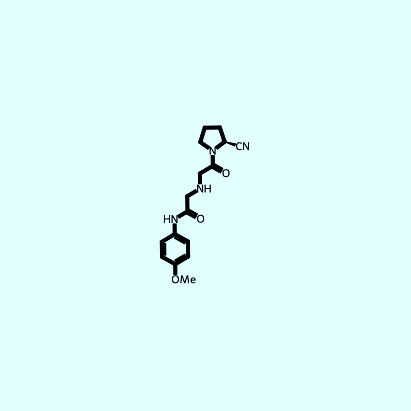 COc1ccc(NC(=O)CNCC(=O)N2CCC[C@H]2C#N)cc1